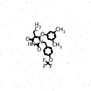 CCc1c(Oc2cc(C)cc(C)c2)n(Cc2ccc(OC(F)(F)F)cc2)c(=O)[nH]c1=O